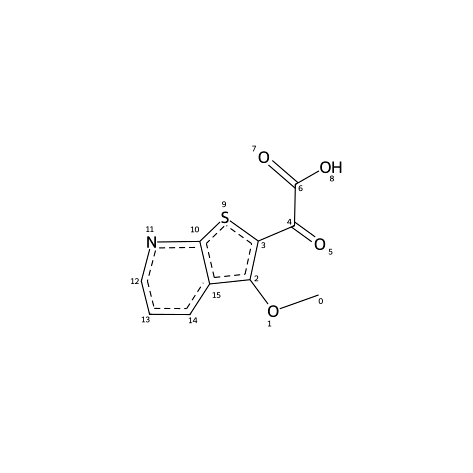 COc1c(C(=O)C(=O)O)sc2ncccc12